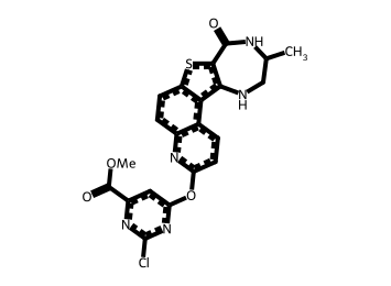 COC(=O)c1cc(Oc2ccc3c(ccc4sc5c(c43)NCC(C)NC5=O)n2)nc(Cl)n1